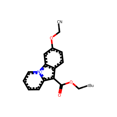 CC(C)(C)COC(=O)c1c2ccc(OCC#N)cc2n2ccccc12